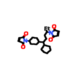 CCC(CCC(C1CCCCC1)C1CCC(N2C(=O)C=CC2=O)CC1)N1C(=O)C=CC1=O